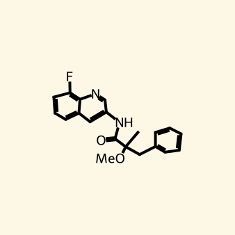 COC(C)(Cc1ccccc1)C(=O)Nc1cnc2c(F)cccc2c1